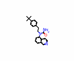 CC(C)(C)c1ccc(CCN(C(N)=O)c2cccc3cnccc23)cc1